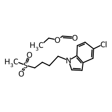 CCOC=O.CS(=O)(=O)CCCCn1ccc2cc(Cl)ccc21